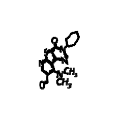 CN(C)c1c(C=O)cnc2sc3c(=O)n(C4CCCCC4)cnc3c12